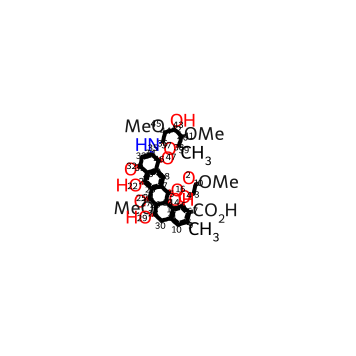 COC(=O)COc1c(C(=O)O)c(C)cc2c1C1(O)C(=O)c3cc4c(c(O)c3C(=O)C1(OC)C(O)C2)C(=O)C=C(N[C@H]1O[C@@H](C)[C@H](OC)[C@@H](O)[C@H]1OC)C4=O